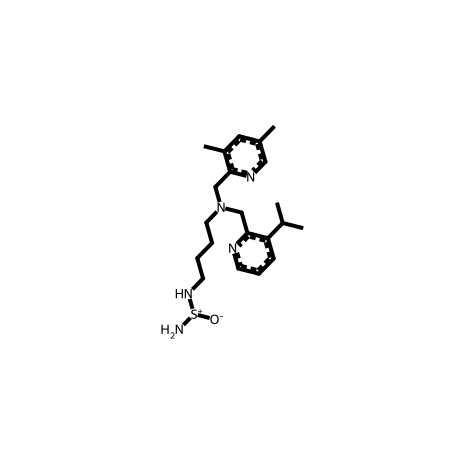 Cc1cnc(CN(CCCCN[S+](N)[O-])Cc2ncccc2C(C)C)c(C)c1